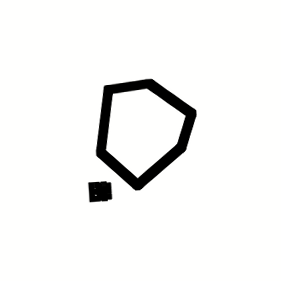 C1CCCCC1.[Bi]